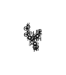 CCC[C@@H](c1ccc(C(=O)NCCC(=O)OCC)cc1)[C@H](C(=O)Nc1ccc(C(F)(F)F)cc1F)c1ccc(OC(F)(F)F)cc1